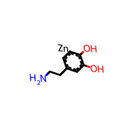 NCCc1ccc(O)c(O)c1.[Zn]